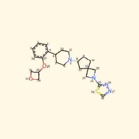 c1ccc(C2CCN([C@@H]3CCC4(C3)CN(c3nncs3)C4)CC2)c(OC2COC2)c1